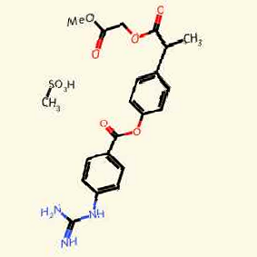 COC(=O)COC(=O)C(C)c1ccc(OC(=O)c2ccc(NC(=N)N)cc2)cc1.CS(=O)(=O)O